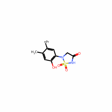 CCCc1cc(N2CC(=O)NS2(=O)=O)c(O)cc1C